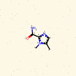 [CH2]c1cnc(C(N)=O)n1C